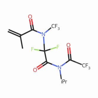 C=C(C)C(=O)N(C(F)(F)F)C(F)(F)C(=O)N(C(=O)C(F)(F)F)C(C)C